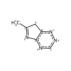 CC1=Nc2ncnnc2C1